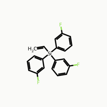 C=C[Si](c1cccc(F)c1)(c1cccc(F)c1)c1cccc(F)c1